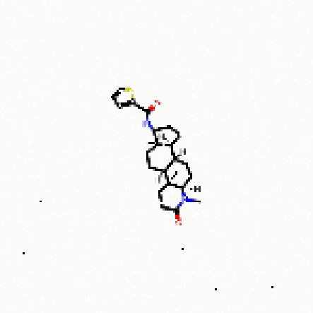 CN1C(=O)CC[C@]2(C)[C@H]3CC[C@]4(C)C(NC(=O)c5cccs5)CC[C@H]4[C@@H]3CC[C@@H]12